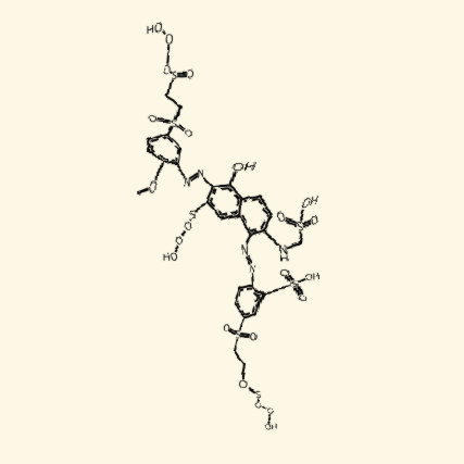 COc1ccc(S(=O)(=O)CCS(=O)OOO)cc1/N=N/c1c(SOOO)cc2c(/N=N/c3ccc(S(=O)(=O)CCOSOOO)cc3S(=O)(=O)O)c(NCS(=O)(=O)O)ccc2c1O